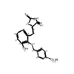 O=C1NC(=S)S/C1=C\c1cccc(O)c1OCc1ccc(C(=O)O)cc1